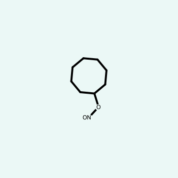 O=NOC1CCCCCCC1